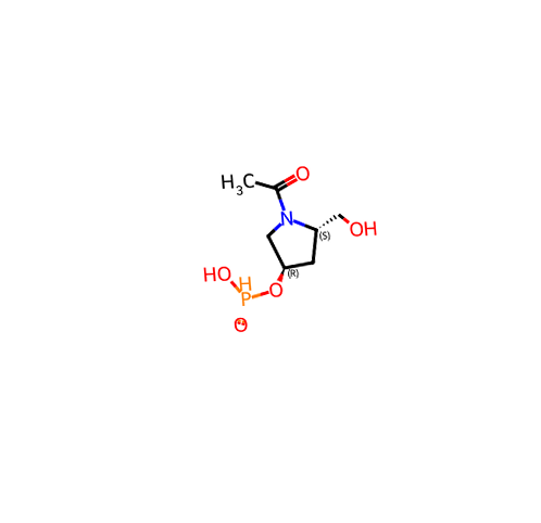 CC(=O)N1C[C@H](O[PH](=O)O)C[C@H]1CO